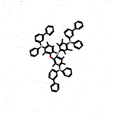 Cc1c(C)c(N(c2c(C)c(C)c(N(c3ccccc3)c3cccc(-c4ccccc4)c3)c(C)c2C)c2c(C)c(C)c(N(c3ccccc3)c3cccc(-c4ccccc4)c3)c(C)c2C)c(C)c(C)c1N(c1ccccc1)c1cccc(-c2ccccc2)c1